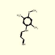 COc1cc(C)c(N/C=C\C=N)cc1C